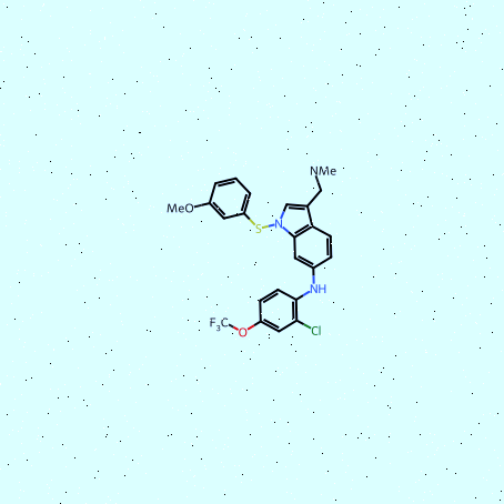 CNCc1cn(Sc2cccc(OC)c2)c2cc(Nc3ccc(OC(F)(F)F)cc3Cl)ccc12